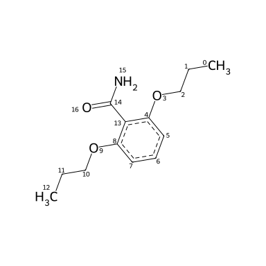 CCCOc1cccc(OCCC)c1C(N)=O